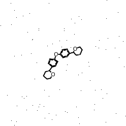 c1cc(C2CCCCO2)ccc1Oc1ccc(C2CCCCO2)cc1